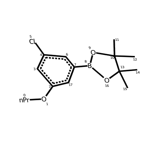 CCCOc1cc(Cl)cc(B2OC(C)(C)C(C)(C)O2)c1